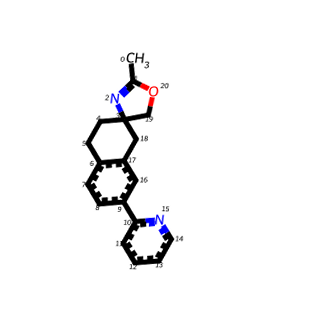 CC1=NC2(CCc3ccc(-c4ccccn4)cc3C2)CO1